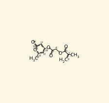 C=C(C)C(=O)OCC(=O)Oc1cc(C)oc(=O)c1